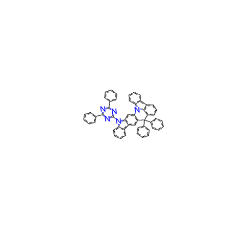 c1ccc(-c2nc(-c3ccccc3)nc(-n3c4ccccc4c4cc5c(cc43)-n3c4ccccc4c4cccc(c43)C5(c3ccccc3)c3ccccc3)n2)cc1